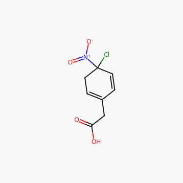 O=C(O)CC1=CCC(Cl)([N+](=O)[O-])C=C1